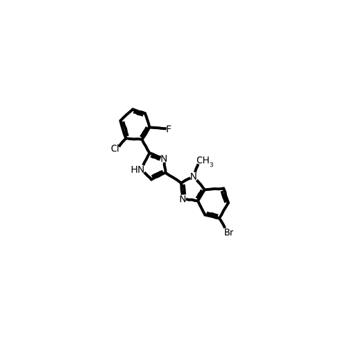 Cn1c(-c2c[nH]c(-c3c(F)cccc3Cl)n2)nc2cc(Br)ccc21